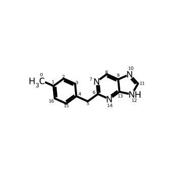 Cc1ccc(Cc2ncc3nc[nH]c3n2)cc1